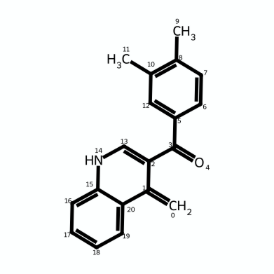 C=C1C(C(=O)c2ccc(C)c(C)c2)=CNc2ccccc21